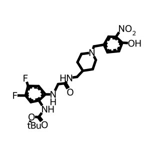 CC(C)(C)OC(=O)Nc1cc(F)c(F)cc1NCC(=O)NCC1CCN(Cc2ccc(O)c([N+](=O)[O-])c2)CC1